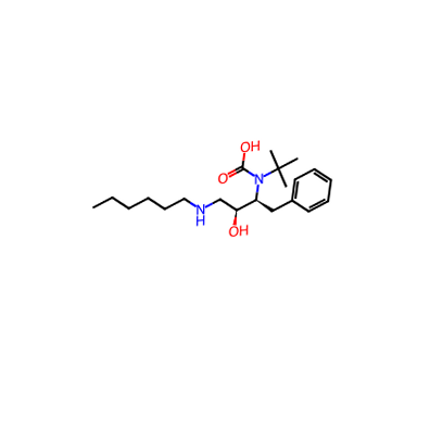 CCCCCCNC[C@H](O)[C@H](Cc1ccccc1)N(C(=O)O)C(C)(C)C